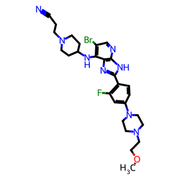 COCCN1CCN(c2ccc(-c3nc4c(NC5CCN(CCC#N)CC5)c(Br)cnc4[nH]3)c(F)c2)CC1